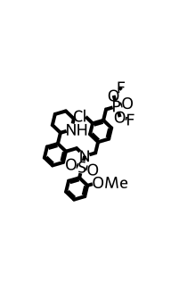 COc1ccccc1S(=O)(=O)N(Cc1ccc(CP(=O)(OF)OF)c(Cl)c1)Cc1ccccc1C1CCCCN1